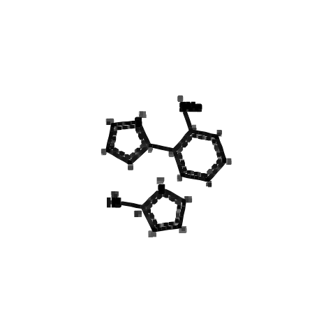 CSc1ccccc1-c1cccs1.Sc1cccs1